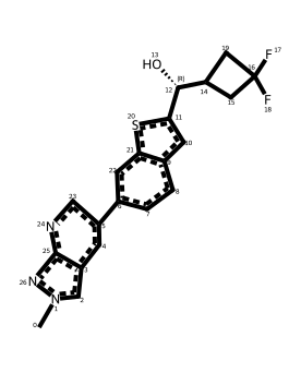 Cn1cc2cc(-c3ccc4cc([C@H](O)C5CC(F)(F)C5)sc4c3)cnc2n1